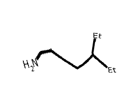 CCC(CC)C[CH]N